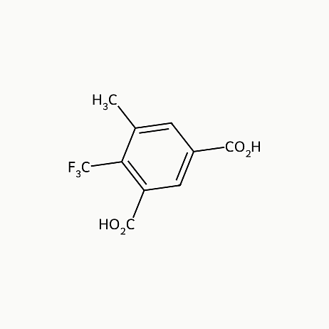 Cc1cc(C(=O)O)cc(C(=O)O)c1C(F)(F)F